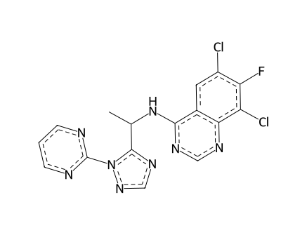 CC(Nc1ncnc2c(Cl)c(F)c(Cl)cc12)c1ncnn1-c1ncccn1